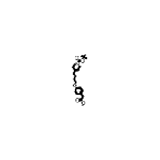 COC(=O)Cc1ccc(OCCCCC2CCN(C(=O)OC(C)(C)C)CC2)cc1